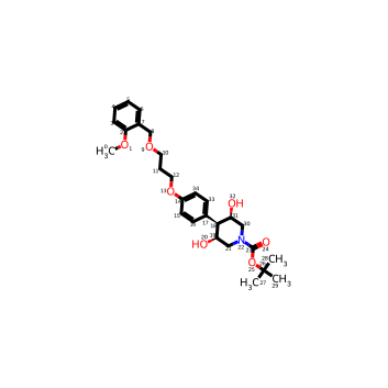 COc1ccccc1COCCCOc1ccc([C@@H]2[C@H](O)CN(C(=O)OC(C)(C)C)C[C@@H]2O)cc1